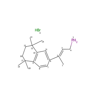 Br.CC(=CCP)c1ccc2c(c1)C(C)(C)CCC2(C)C